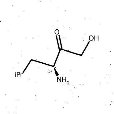 CC(C)C[C@H](N)C(=O)CO